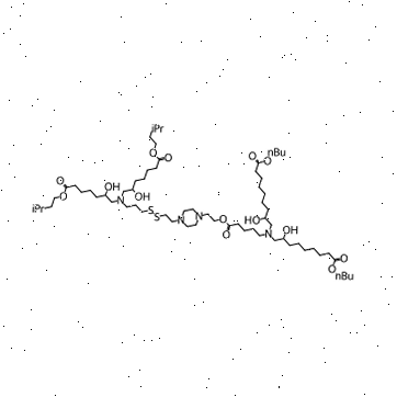 CCCCOC(=O)CCCCCCC(O)CN(CCCCC(=O)OCCN1CCN(CCSSCCCN(CC(O)CCCCC(=O)OCCC(C)C)CC(O)CCCCC(=O)OCCC(C)C)CC1)CC(O)CCCCCCC(=O)OCCCC